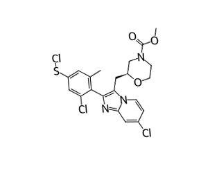 COC(=O)N1CCO[C@@H](Cc2c(-c3c(C)cc(SCl)cc3Cl)nc3cc(Cl)ccn23)C1